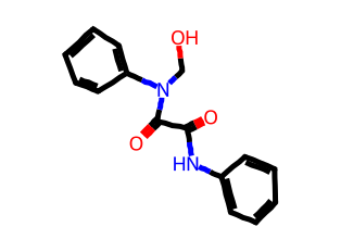 O=C(Nc1ccccc1)C(=O)N(CO)c1ccccc1